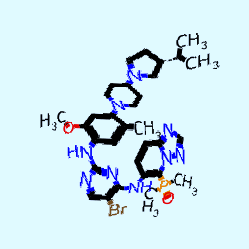 COc1cc(N2CCC(N3CC[C@H](C(C)C)C3)CC2)c(C)cc1Nc1ncc(Br)c(Nc2ccc3ncnn3c2P(C)(C)=O)n1